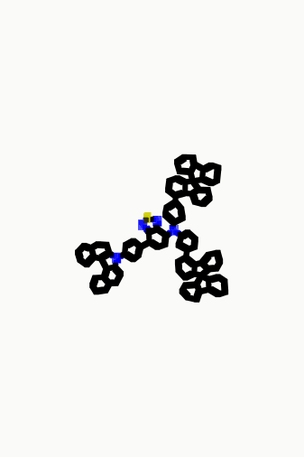 c1cc(-c2cccc3c2-c2ccccc2C32c3ccccc3-c3ccccc32)cc(N(c2ccc(-c3cccc4c3-c3ccccc3C43c4ccccc4-c4ccccc43)cc2)c2ccc(-c3ccc(-n4c5ccc6ccccc6c5c5c6ccccc6ccc54)cc3)c3nsnc23)c1